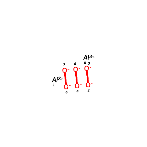 [Al+3].[Al+3].[O-][O-].[O-][O-].[O-][O-]